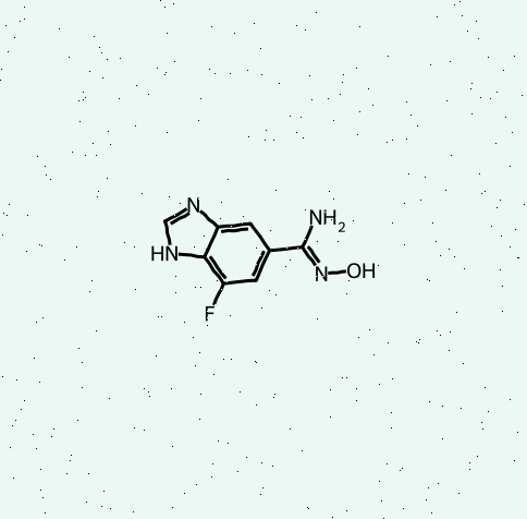 N/C(=N\O)c1cc(F)c2[nH]cnc2c1